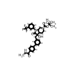 CNC(=O)c1ccc(-c2cccc(CC(O)(C(=O)Nc3cccc(C(F)(F)F)c3)C3CCN(C(=O)OC(C)(C)C)CC3)c2)cc1